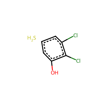 Oc1cccc(Cl)c1Cl.S